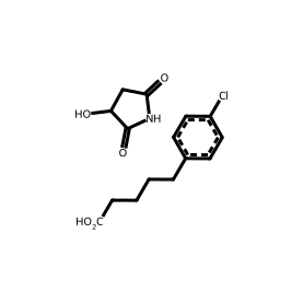 O=C(O)CCCCc1ccc(Cl)cc1.O=C1CC(O)C(=O)N1